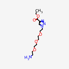 CCOC(=O)c1cn(CCOCCOCCOCCN)nn1